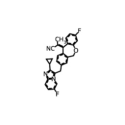 C/C(C#N)=C1/c2ccc(Cc3c(C4CC4)nc4ccc(F)cn34)cc2COc2cc(F)ccc21